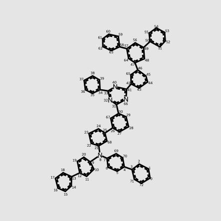 c1ccc(-c2ccc(N(c3ccc(-c4ccccc4)cc3)c3cccc(-c4cccc(-c5nc(-c6ccccc6)nc(-c6cccc(-c7cc(-c8ccccc8)cc(-c8ccccc8)c7)c6)n5)c4)c3)cc2)cc1